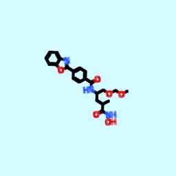 COCOCC(CC(C)C(=O)NO)NC(=O)c1ccc(-c2nc3ccccc3o2)cc1